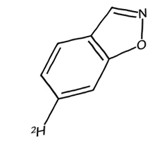 [2H]c1ccc2cnoc2c1